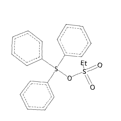 CCS(=O)(=O)OS(c1ccccc1)(c1ccccc1)c1ccccc1